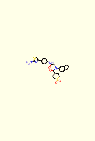 Nc1nc(-c2ccc(NC(=O)CN(C(=O)C3CCS(=O)(=O)CC3)c3ccc4c(c3)CCC4)cc2)cs1